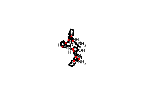 CC(N)(C#Cc1cc(N2C3CCC2CN(c2cc(-c4ccccc4O)nnc2N)C3)ccn1)c1cccc(-c2cc(N3CC4CCC(C3)N4c3ccnc(C#CCNC(=O)C4CCNCC4)c3)c(N)nn2)c1O